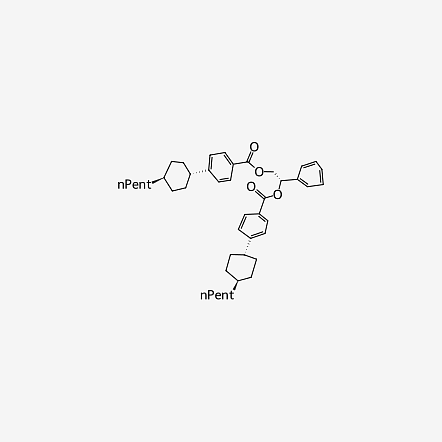 CCCCC[C@H]1CC[C@H](c2ccc(C(=O)OC[C@@H](OC(=O)c3ccc([C@H]4CC[C@H](CCCCC)CC4)cc3)c3ccccc3)cc2)CC1